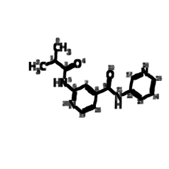 CC(C)C(=O)Nc1cc(C(=O)Nc2cccnc2)ccn1